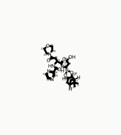 CC1(C)[C@@H]2C[C@H]3OB(C(CCO)NC(=O)C(CC(=O)N4CCOCC4)NC(=O)c4cnccn4)O[C@@]3(C)[C@H]1C2